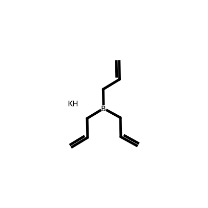 C=CCB(CC=C)CC=C.[KH]